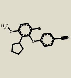 COc1ccc(Br)c(Oc2ccc(C#N)cc2)c1C1CCCC1